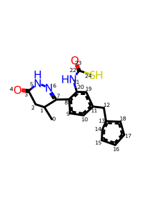 CC1CC(=O)NN=C1c1ccc(Cc2ccccc2)cc1NC(=O)S